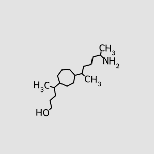 CC(N)CCCC(C)C1CCCC(C(C)CCCO)CC1